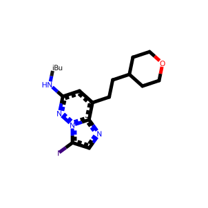 CCC(C)Nc1cc(CCC2CCOCC2)c2ncc(I)n2n1